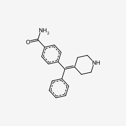 NC(=O)c1ccc(C(=C2CCNCC2)c2ccccc2)cc1